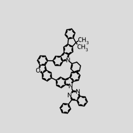 CC1(C)c2ccccc2-c2cc3c4cc(-c5cccc6oc7ccc(-c8ccc9c(c8)c8ccccc8n9-c8nc(-c9ccccc9)c9ccccc9n8)cc7c56)ccc4n(C4=CC=CCC4)c3cc21